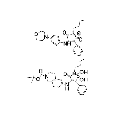 CCCCN1C(=O)C(Nc2ccc(N3CCOCC3)cc2)=C(c2ccccc2)S1(=O)=O.CCCCN1C(=O)C(Nc2ccc3c(c2)CCN(C(=O)OC(C)(C)C)C3)=C(c2ccccc2)S1(O)O